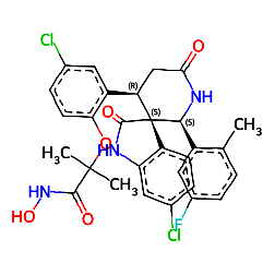 Cc1ccc(F)cc1[C@@H]1NC(=O)C[C@H](c2cc(Cl)ccc2OC(C)(C)C(=O)NO)[C@@]12C(=O)Nc1cc(Cl)ccc12